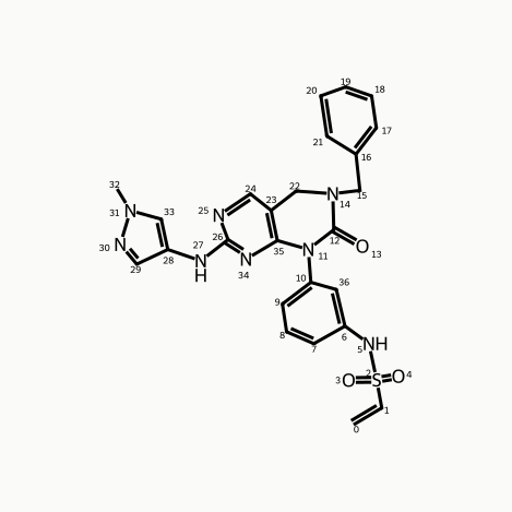 C=CS(=O)(=O)Nc1cccc(N2C(=O)N(Cc3ccccc3)Cc3cnc(Nc4cnn(C)c4)nc32)c1